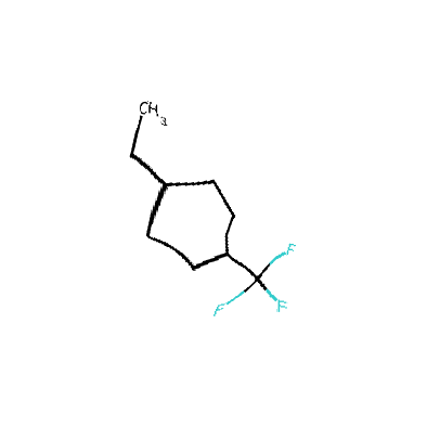 CCC1CCC(C(F)(F)F)CC1